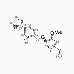 COc1cc(CCl)ccc1OCc1ccc(-c2nccs2)cc1C